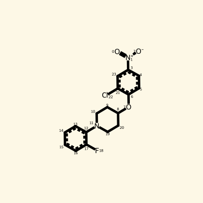 O=[N+]([O-])c1ccc(OC2CCN(c3ccccc3F)CC2)c(Cl)c1